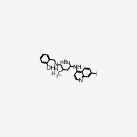 CCCCC(CC(C)CNCc1ccccc1O)Nc1ccnc2cc(I)ccc12